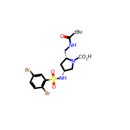 CC(C)(C)C(=O)NC[C@H]1C[C@@H](NS(=O)(=O)c2cc(Br)ccc2Br)CN1C(=O)O